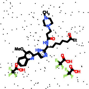 CCC(=O)CCCCC[C@H](NC(=O)CCN1CCN(C)CC1)c1ncc(-c2cc(OC)c3ccccc3n2)[nH]1.O=C(O)C(F)(F)F.O=C(O)C(F)(F)F.O=C(O)C(F)(F)F